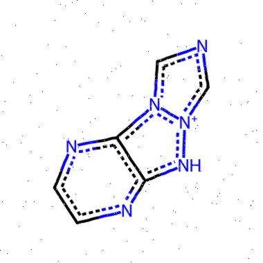 c1cnc2c(n1)[nH][n+]1cncn21